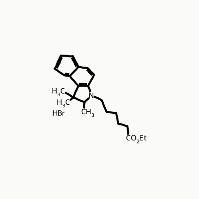 Br.CCOC(=O)CCCCCN1c2ccc3ccccc3c2C(C)(C)C1C